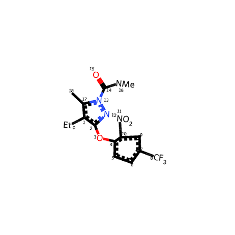 CCc1c(Oc2ccc(C(F)(F)F)cc2[N+](=O)[O-])nn(C(=O)NC)c1C